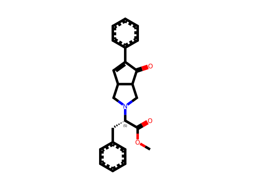 COC(=O)[C@H](Cc1ccccc1)N1CC2C=C(c3ccccc3)C(=O)C2C1